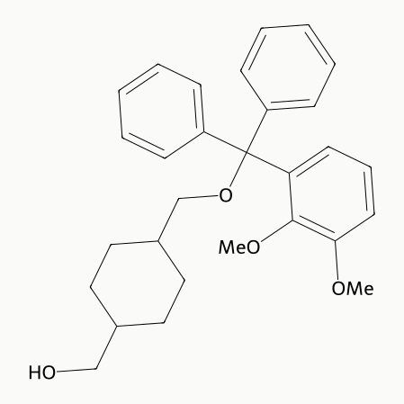 COc1cccc(C(OCC2CCC(CO)CC2)(c2ccccc2)c2ccccc2)c1OC